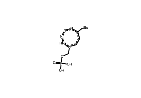 CC(C)(C)c1ccn(COP(=O)(O)O)[nH]nnn1